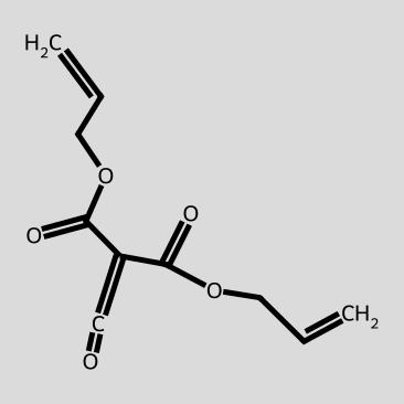 C=CCOC(=O)C(=C=O)C(=O)OCC=C